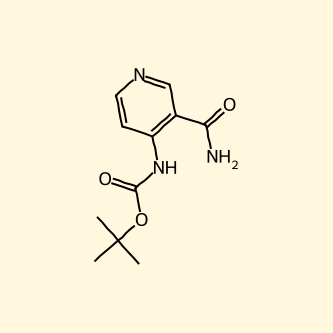 CC(C)(C)OC(=O)Nc1ccncc1C(N)=O